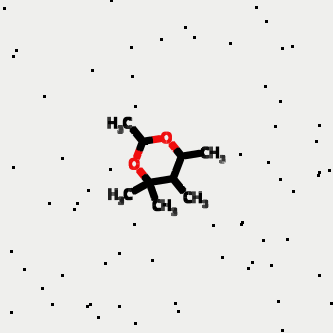 CC1OC(C)C(C)C(C)(C)O1